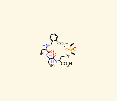 C=CS(=O)(=O)C=C.CC(C)CC(NC(=O)C(CC(C)C)NC(=O)C(CC(C)C)NCc1ccccc1C(=O)O)C(=O)O